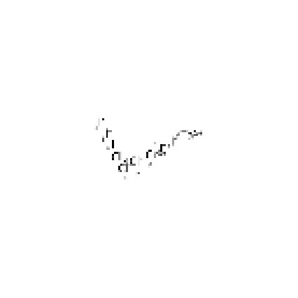 [Cl-].[Cl-].[Cl-].[Cr+3].[I-].[I-].[I-].[I-].[I-].[Ta+5]